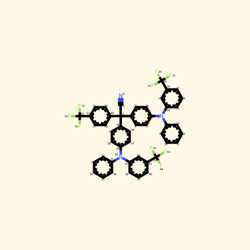 N#CC(c1ccc(N(c2ccccc2)c2cccc(C(F)(F)F)c2)cc1)(c1ccc(N(c2ccccc2)c2cccc(C(F)(F)F)c2)cc1)c1ccc(C(F)(F)F)cc1